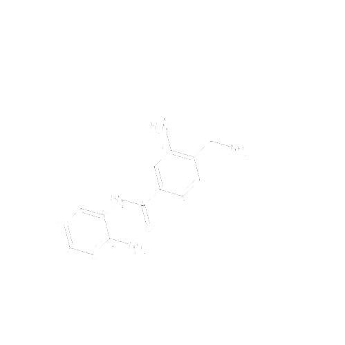 NCc1ccc(C(=O)Nc2ccccc2N)cc1N